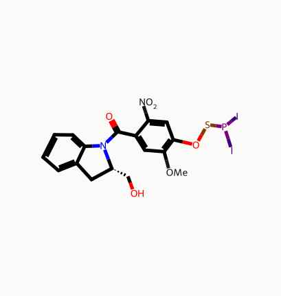 COc1cc(C(=O)N2c3ccccc3C[C@H]2CO)c([N+](=O)[O-])cc1OSP(I)I